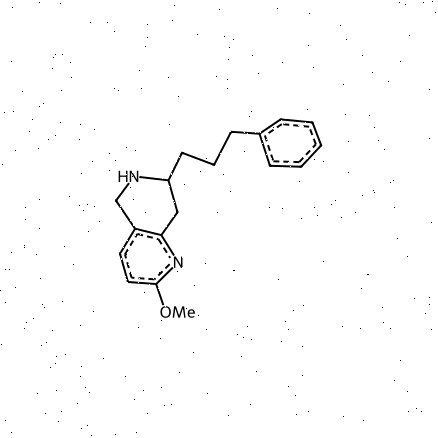 COc1ccc2c(n1)CC(CCCc1ccccc1)NC2